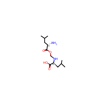 CC(C)C[C@H](NCOC(=O)[C@@H](N)CC(C)C)C(=O)O